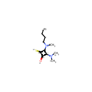 CC(C)CCCN(C)c1c(N(C)C)c(=O)c1=S